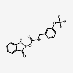 O=C(NCc1cccc(OC(F)(F)F)c1)On1[nH]c2ccccc2c1=O